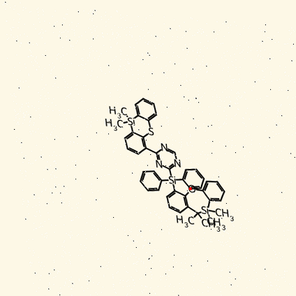 CC1(C)c2cccc([Si](c3ccccc3)(c3ccccc3)c3ncnc(-c4cccc5c4Sc4ccccc4[Si]5(C)C)n3)c2Oc2ccccc2[Si]1(C)C